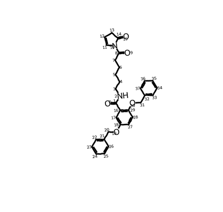 O=C(NCCCCCC(=O)N1C=CCC1=O)c1cc(OCc2ccccc2)ccc1OCc1ccccc1